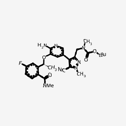 CNC(=O)c1ccc(F)cc1[C@@H](C)Oc1cc(-c2c(CN(C)C(=O)OC(C)(C)C)nn(C)c2C#N)cnc1N